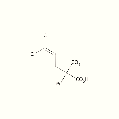 CC(C)C(CC=C(Cl)Cl)(C(=O)O)C(=O)O